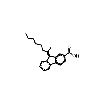 CCCCCC/C(C)=C1\c2ccccc2-c2ccc(C(=O)O)cc21